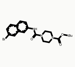 CC(C)(C)OC(=O)N1CCN(C(=O)Nc2ccc3ccc(Br)cc3c2)CC1